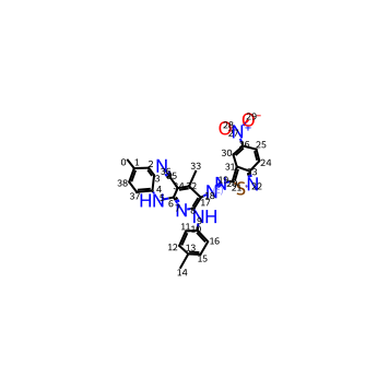 Cc1ccc(Nc2nc(Nc3ccc(C)cc3)c(/N=N/c3snc4ccc([N+](=O)[O-])cc34)c(C)c2C#N)cc1